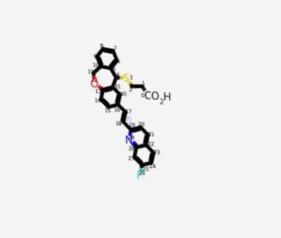 O=C(O)CCSC1c2ccccc2COc2ccc(/C=C/c3ccc4ccc(F)cc4n3)cc21